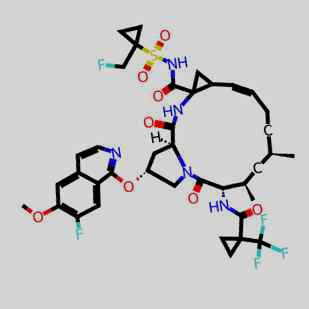 COc1cc2ccnc(O[C@@H]3C[C@H]4C(=O)NC5(C(=O)NS(=O)(=O)C6(CF)CC6)CC5/C=C\CC[C@@H](C)C[C@@H](C)[C@H](NC(=O)C5(C(F)(F)F)CC5)C(=O)N4C3)c2cc1F